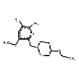 CCOC1CCN(Cc2nc(N)c(C)cc2OC)CC1